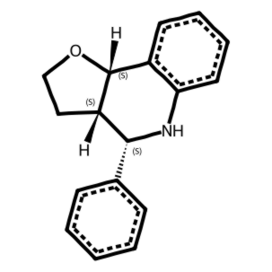 c1ccc([C@H]2Nc3ccccc3[C@H]3OCC[C@@H]23)cc1